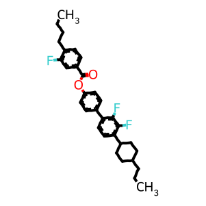 CCCCc1ccc(C(=O)Oc2ccc(-c3ccc(C4CCC(CCC)CC4)c(F)c3F)cc2)cc1F